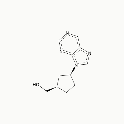 OC[C@@H]1CC[C@H](n2cnc3cncnc32)C1